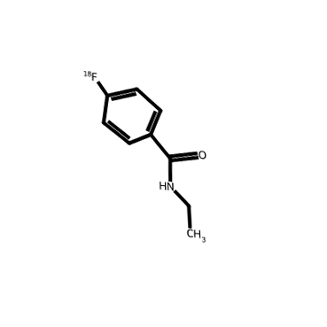 CCNC(=O)c1ccc([18F])cc1